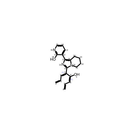 C=C/C=C(\C(O)=C/C=C)c1nc(-c2cccnc2O)c2n1CCCC2